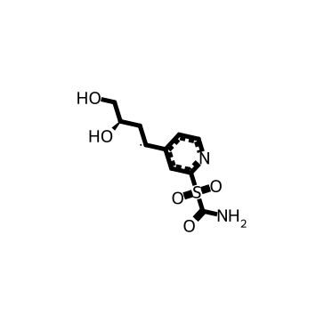 NC(=O)S(=O)(=O)c1cc([CH]C[C@@H](O)CO)ccn1